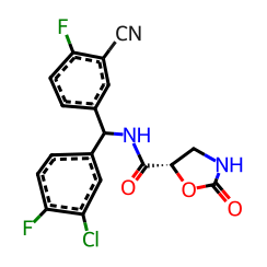 N#Cc1cc(C(NC(=O)[C@@H]2CNC(=O)O2)c2ccc(F)c(Cl)c2)ccc1F